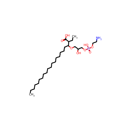 CCCCCCCCCCCCCCCCCCC(OCC(O)COP(=O)(O)OCCN)C(CC)C(=O)O